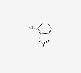 [CH2]c1cc2cccc(Cl)c2s1